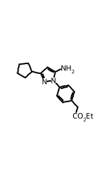 CCOC(=O)Cc1ccc(-n2nc(C3CCCC3)cc2N)cc1